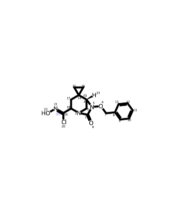 O=C1N2C[C@@H](N1OCc1ccccc1)C1(CC1)CC2/C(Cl)=N/O